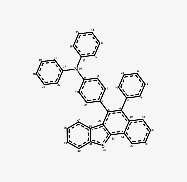 c1ccc(-c2c(-c3ccc(N(c4ccccc4)c4ccccc4)cc3)c3c4ccccc4sc3c3ccccc23)cc1